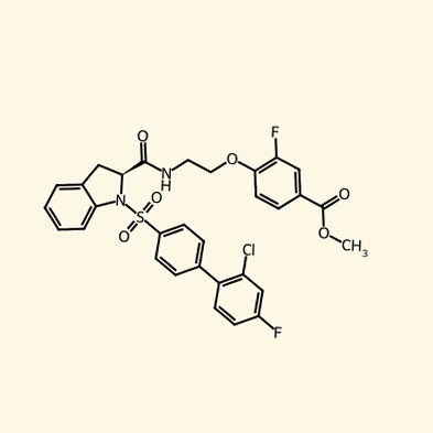 COC(=O)c1ccc(OCCNC(=O)[C@@H]2Cc3ccccc3N2S(=O)(=O)c2ccc(-c3ccc(F)cc3Cl)cc2)c(F)c1